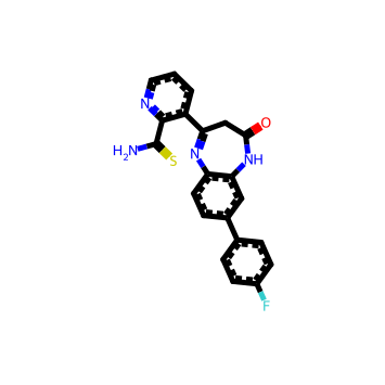 NC(=S)c1ncccc1C1=Nc2ccc(-c3ccc(F)cc3)cc2NC(=O)C1